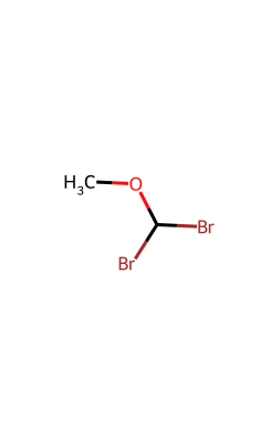 COC(Br)Br